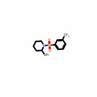 CCCC1CCCCN1S(=O)(=O)c1cccc(C(F)(F)F)c1